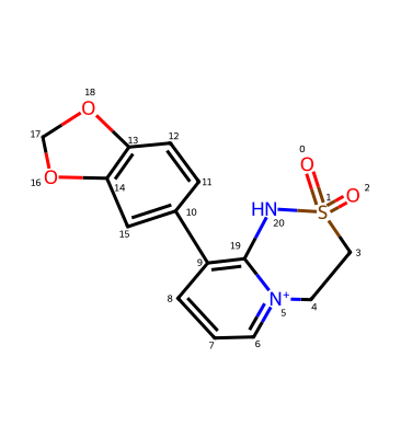 O=S1(=O)CC[n+]2cccc(-c3ccc4c(c3)OCO4)c2N1